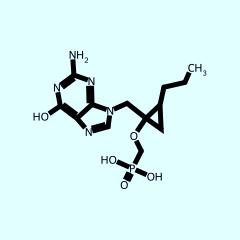 CCCC1CC1(Cn1cnc2c(O)nc(N)nc21)OCP(=O)(O)O